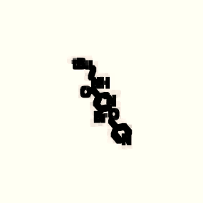 CC(C)(C)CCNC(=O)c1cnc(OCc2ccncc2)c(Br)c1